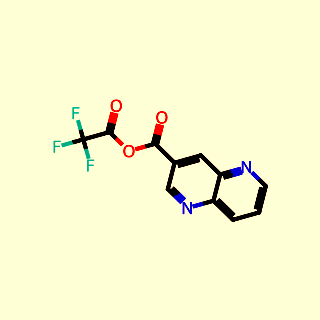 O=C(OC(=O)C(F)(F)F)c1cnc2cccnc2c1